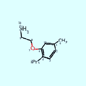 Cc1ccc(C(C)C)c(OCC[SiH3])c1